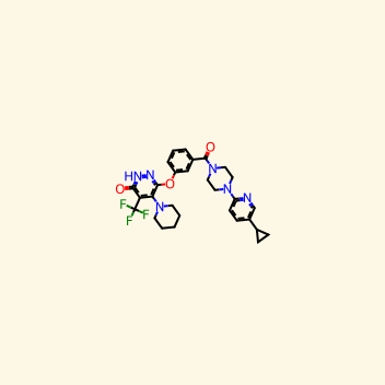 O=C(c1cccc(Oc2n[nH]c(=O)c(C(F)(F)F)c2N2CCCCC2)c1)N1CCN(c2ccc(C3CC3)cn2)CC1